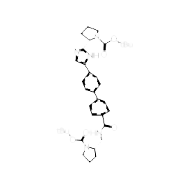 CC(C)(C)OC(=O)N1CCC[C@H]1CNC(=O)c1ccc(-c2ccc(-c3cnc([C@@H]4CCCN4C(=O)OC(C)(C)C)[nH]3)cc2)cc1